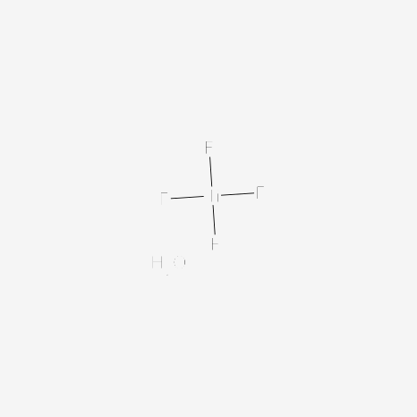 O.[F][Ti]([F])([F])[F]